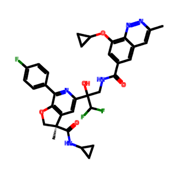 Cc1cc2cc(C(=O)NCC(O)(c3cc4c(c(-c5ccc(F)cc5)n3)OC[C@]4(C)C(=O)NC3CC3)C(F)F)cc(OC3CC3)c2nn1